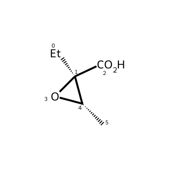 CC[C@@]1(C(=O)O)O[C@H]1C